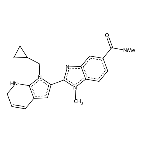 CNC(=O)c1ccc2c(c1)nc(-c1cc3c(n1CC1CC1)NCC=C3)n2C